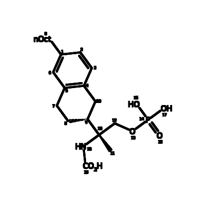 CCCCCCCCc1ccc2c(c1)CC[C@@H]([C@](C)(COP(=O)(O)O)NC(=O)O)C2